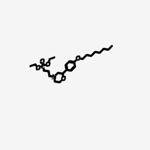 CCCCCCCCOc1ccc(C2CN(CCCP(=O)(OCC)OCC)CCO2)cc1